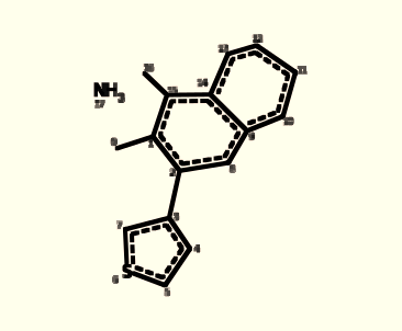 Cc1c(-c2ccsc2)cc2ccccc2c1C.N